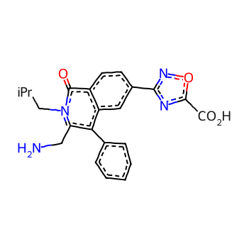 CC(C)Cn1c(CN)c(-c2ccccc2)c2cc(-c3noc(C(=O)O)n3)ccc2c1=O